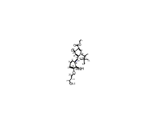 CCOC(=O)c1cn(C(C)C(C)(C)C)c(/C=C2\C=CC=C(OCCCO)C2=N)cc1=O